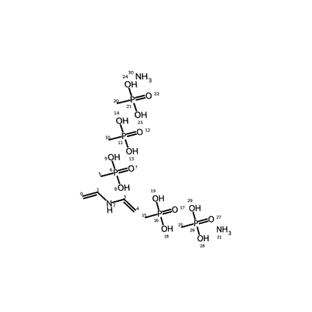 C=CNC=C.CP(=O)(O)O.CP(=O)(O)O.CP(=O)(O)O.CP(=O)(O)O.CP(=O)(O)O.N.N